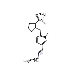 Cc1cc(/C=C/C=N\C=N)ccc1CC1CCCC1c1ccnn1C